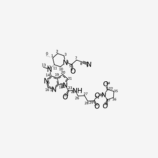 C[C@@H]1CCN(C(=O)CC#N)C[C@@H]1N(C)c1ncnc2c1ccn2C(=O)NCCCC(=O)ON1C(=O)CCC1=O